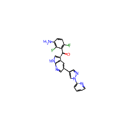 Nc1ccc(F)c(C(=O)c2c[nH]c3ncc(-c4cnn(-c5ccccn5)c4)cc23)c1F